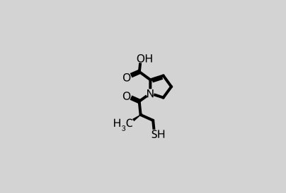 C[C@H](CS)C(=O)N1CCC=C1C(=O)O